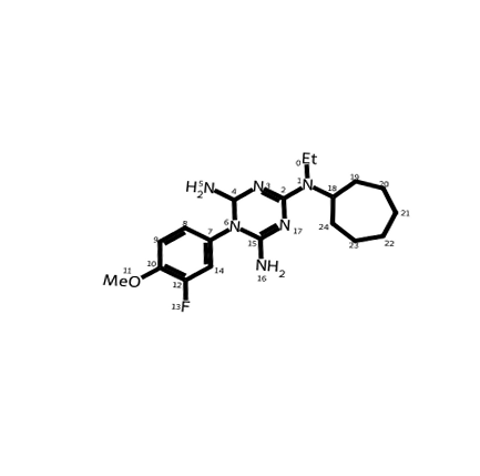 CCN(C1=NC(N)N(c2ccc(OC)c(F)c2)C(N)=N1)C1CCCCCC1